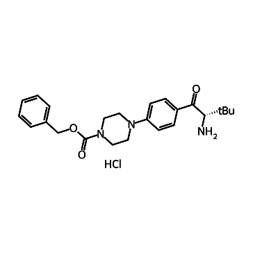 CC(C)(C)[C@H](N)C(=O)c1ccc(N2CCN(C(=O)OCc3ccccc3)CC2)cc1.Cl